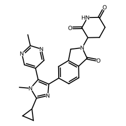 Cc1ncc(-c2c(-c3ccc4c(c3)CN(C3CCC(=O)NC3=O)C4=O)nc(C3CC3)n2C)cn1